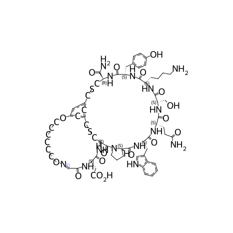 NCCCC[C@@H]1NC(=O)[C@H](CO)NC(=O)[C@H](CCC(N)=O)NC(=O)[C@H](Cc2c[nH]c3ccccc23)NC(=O)[C@@H]2CCCN2C(=O)[C@@H]2CSCc3cc(cc(c3)OCCCCCCO/N=C/C(=O)N[C@@H](CC(=O)O)C(=O)N2)CSC[C@@H](C(N)=O)NC(=O)[C@H](Cc2ccc(O)cc2)NC1=O